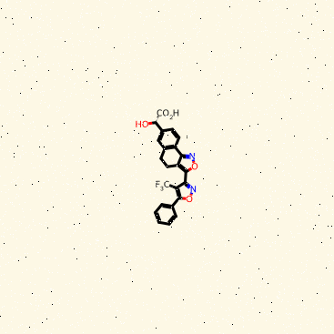 O=C(O)[C@@H](O)c1ccc2c(c1)CCc1c-2noc1-c1noc(-c2ccccc2)c1C(F)(F)F